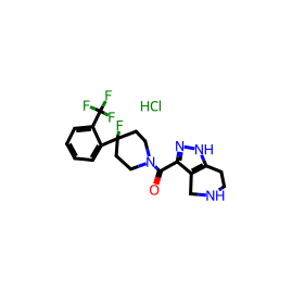 Cl.O=C(c1n[nH]c2c1CNCC2)N1CCC(F)(c2ccccc2C(F)(F)F)CC1